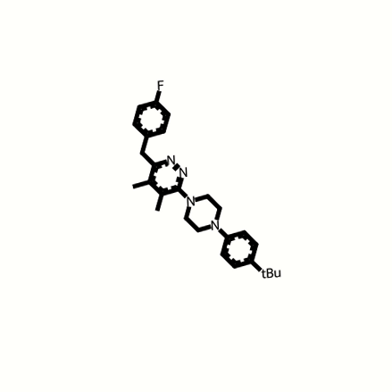 Cc1c(Cc2ccc(F)cc2)nnc(N2CCN(c3ccc(C(C)(C)C)cc3)CC2)c1C